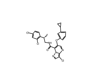 O=C(NC[C@H](F)c1ccc(Cl)cc1Cl)c1c(Oc2cccc(C3CC3)c2)cnc2c(Cl)cnn12